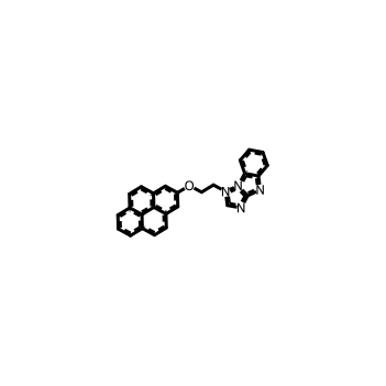 c1cc2ccc3cc(OCCn4cnc5nc6ccccc6n54)cc4ccc(c1)c2c34